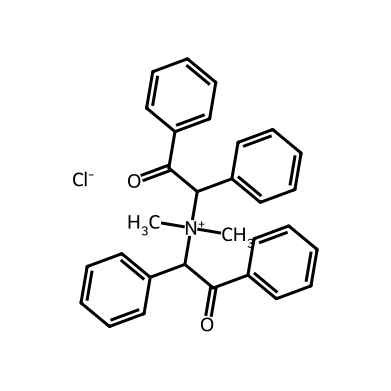 C[N+](C)(C(C(=O)c1ccccc1)c1ccccc1)C(C(=O)c1ccccc1)c1ccccc1.[Cl-]